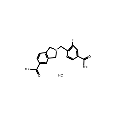 CC(C)(C)C(=O)c1ccc(CN2Cc3ccc(C(=O)C(C)(C)C)cc3C2)c(F)c1.Cl